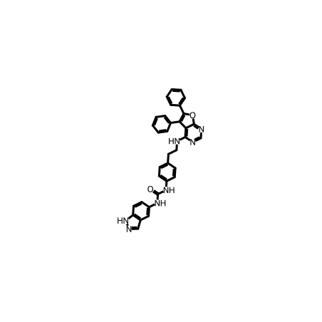 O=C(Nc1ccc(CCNc2ncnc3oc(-c4ccccc4)c(-c4ccccc4)c23)cc1)Nc1ccc2[nH]ncc2c1